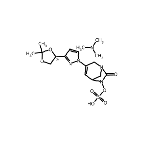 CC1(C)OC[C@H](c2ccn(C3=CC4CN(C3)C(=O)N4OS(=O)(=O)O)n2)O1.CN(C)C